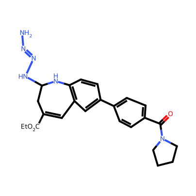 CCOC(=O)C1=Cc2cc(-c3ccc(C(=O)N4CCCC4)cc3)ccc2NC(NN=NN)C1